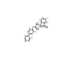 O=C(Cc1ccc(-c2ccccc2)cc1)OC1OC(=O)c2ccccc21